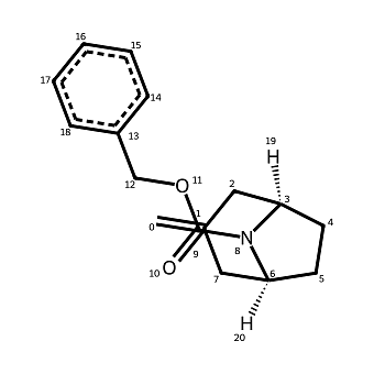 C=C1C[C@H]2CC[C@@H](C1)N2C(=O)OCc1ccccc1